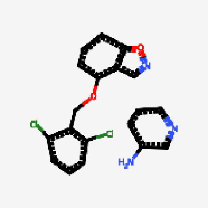 Clc1cccc(Cl)c1COc1cccc2oncc12.Nc1cccnc1